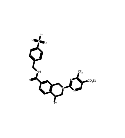 CCOC(=O)c1cnc(N2Cc3cc(C(=O)NCc4ccc(S(=O)(=O)CC)cc4)ccc3C(C(C)C)C2)nc1C(F)(F)F